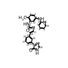 Cc1ccc(Nc2ccccn2)cc1Nc1ncc(-c2cccc(-n3nc[nH]c3=O)c2)o1